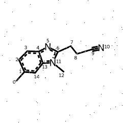 Cc1ccc2nc(CCC#N)n(C)c2c1